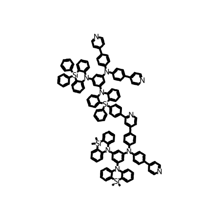 C[Si]1(C)c2ccccc2N(c2cc(N(c3ccc(-c4ccncc4)cc3)c3ccc(-c4ccnc(-c5ccc([Si]6(c7ccccc7)c7ccccc7N(c7cc(N(c8ccc(-c9ccncc9)cc8)c8ccc(-c9ccncc9)cc8)cc(N8c9ccccc9[Si](c9ccccc9)(c9ccccc9)c9ccccc98)c7)c7ccccc76)cc5)c4)cc3)cc(N3c4ccccc4[Si](C)(C)c4ccccc43)c2)c2ccccc21